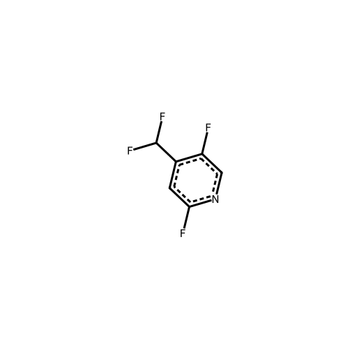 Fc1cc(C(F)F)c(F)cn1